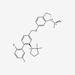 CC(=O)[C@@H](C)[C@H]1CCc2ccc(OCc3ccc(-c4cc(C)ccc4F)c([C@@H]4CCCC4(C)C)c3)cc21